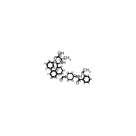 COc1ccccc1C(=O)NC1CCN(C(=O)[C@H]2CC[C@@](C(=O)N[C@@H](C)C(=O)O)(c3ccccc3)c3ccccc32)CC1